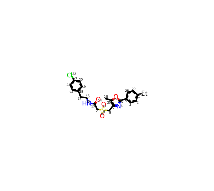 CCc1ccc(-c2nc(CS(=O)(=O)CC(=O)NCCc3ccc(Cl)cc3)c(C)o2)cc1